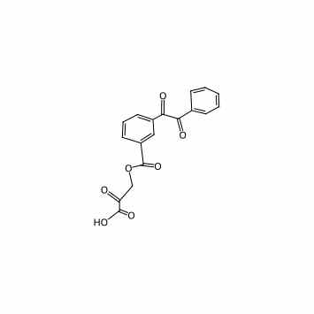 O=C(O)C(=O)COC(=O)c1cccc(C(=O)C(=O)c2ccccc2)c1